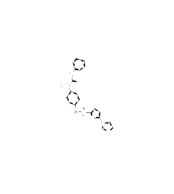 CN(c1ccc(NC(=O)Nc2ccccc2)cc1)S(=O)(=O)c1ccc(-n2ccnc2)s1